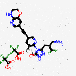 Cc1cc(C#Cc2cnc3c(c2)OCCN3)cnc1-n1c(CC(CN)=C(F)F)n[nH]c1=O.O=C(O)C(F)(F)F.O=C(O)C(F)(F)F